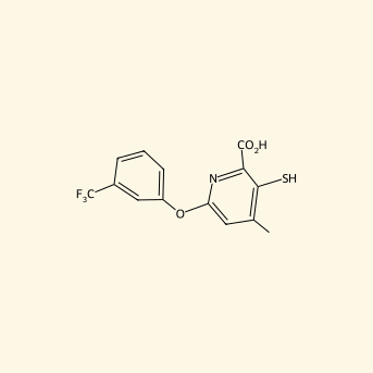 Cc1cc(Oc2cccc(C(F)(F)F)c2)nc(C(=O)O)c1S